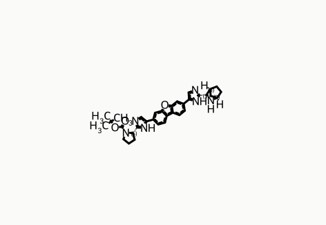 CC(C)(C)OC(=O)N1CCC[C@H]1c1ncc(-c2ccc3c(c2)oc2cc(-c4cnc([C@H]5N[C@@H]6CC[C@H]5C6)[nH]4)ccc23)[nH]1